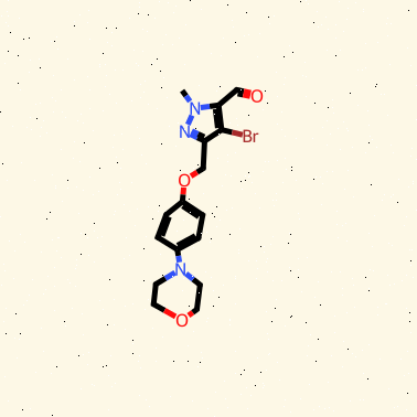 Cn1nc(COc2ccc(N3CCOCC3)cc2)c(Br)c1C=O